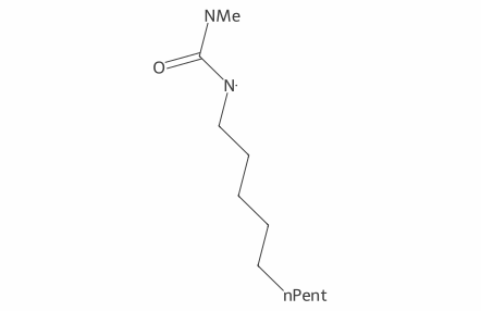 CCCCCCCCCC[N]C(=O)NC